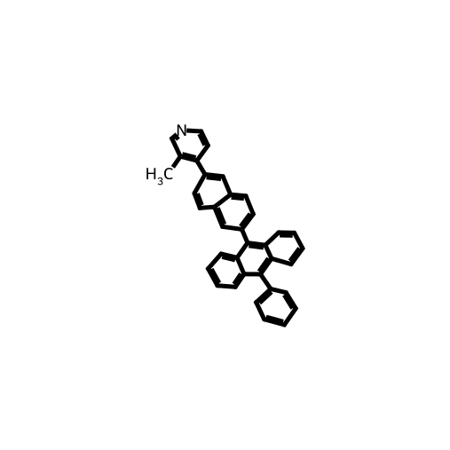 Cc1cnccc1-c1ccc2cc(-c3c4ccccc4c(-c4ccccc4)c4ccccc34)ccc2c1